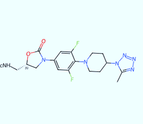 CC(=O)NC[C@H]1CN(c2cc(F)c(N3CCC(n4nnnc4C)CC3)c(F)c2)C(=O)O1